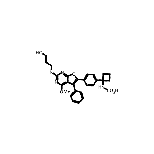 COc1nc(NCCCO)nc2oc(-c3ccc(C4(NC(=O)O)CCC4)cc3)c(-c3ccccc3)c12